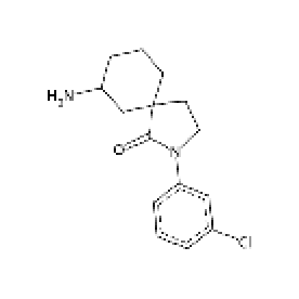 NC1CCCC2(CCN(c3cccc(Cl)c3)C2=O)C1